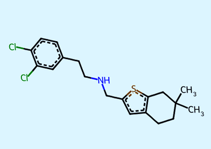 CC1(C)CCc2cc(CNCCc3ccc(Cl)c(Cl)c3)sc2C1